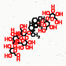 C=C1C[C@@]23CCC4[C@](C)(C(=O)OC5OC(CO)C(O)CC5OC5OC(CO)C(O)C(O)C5O)CCC[C@@]4(C)[C@@H]2CC[C@]1(OC1OC(CO)C(O)C(OC2OC(COC4OC(CO)C(O)CC4O)C(O)C(O)[C@H]2O)C1OC1OC(CO)C(O)C(O)C1O)C3